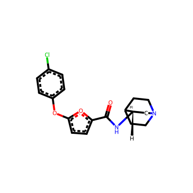 O=C(N[C@H]1CN2CCC1CC2)c1ccc(Oc2ccc(Cl)cc2)o1